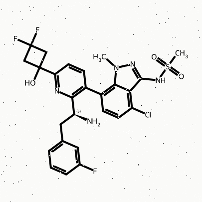 Cn1nc(NS(C)(=O)=O)c2c(Cl)ccc(-c3ccc(C4(O)CC(F)(F)C4)nc3[C@@H](N)Cc3cccc(F)c3)c21